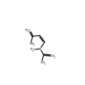 C=C(N)/C=C\N(C)C(=C)C